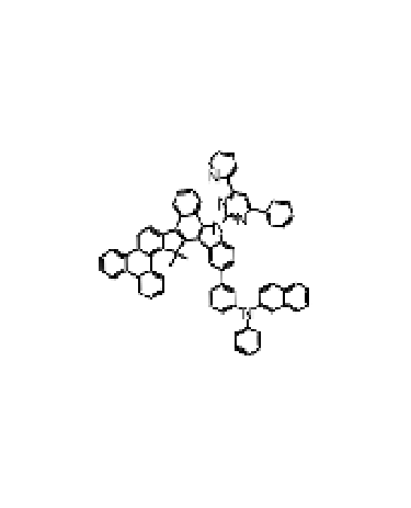 CC1(C)c2c(ccc3c4ccccc4c4ccccc4c23)-c2c1c1c3cc(-c4cccc(N(c5ccccc5)c5ccc6ccccc6c5)c4)ccc3n(-c3nc(-c4ccccc4)cc(-c4ccccn4)n3)c1c1ccccc21